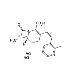 Cc1ncccc1/C=C\C1=C(C(=O)O)N2C(=O)[C@@H](N)[C@H]2SC1.Cl.Cl